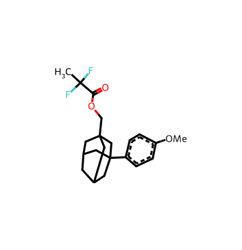 COc1ccc(C23CC4CC(CC(COC(=O)C(C)(F)F)(C4)C2)C3)cc1